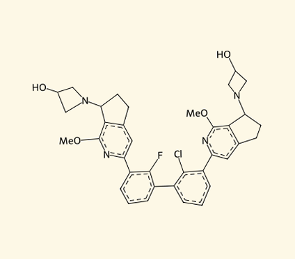 COc1nc(-c2cccc(-c3cccc(-c4cc5c(c(OC)n4)C(N4CC(O)C4)CC5)c3Cl)c2F)cc2c1C(N1CC(O)C1)CC2